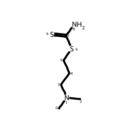 CN(C)CCCSC(N)=S